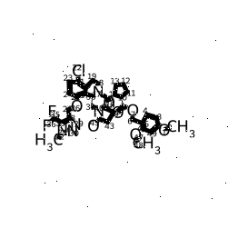 COc1ccc(COC(=O)[C@H]2CCC[C@H]2C(=O)N2CCc3c(Cl)ccc(OCc4nnn(C)c4C(F)F)c3[C@H]2CN2CCCC2=O)c(OC)c1